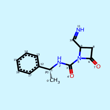 C[C@@H](NC(=O)N1C(=O)CC1C=N)c1ccccc1